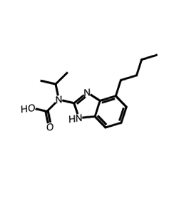 CCCCc1cccc2[nH]c(N(C(=O)O)C(C)C)nc12